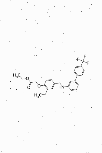 CCOC(=O)COc1ccc(CNc2cccc(-c3ccc(C(F)(F)F)cc3)c2)cc1CC